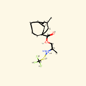 CC1C=C2CCCC(C(=O)OCC(C)NSC(F)(F)F)(C2)C1